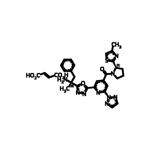 Cc1csc([C@H]2CCCN2C(=O)c2cc(-c3nnc([C@](C)(N)Cc4ccccc4)o3)nc(-n3nccn3)c2)n1.O=C(O)C=CC(=O)O